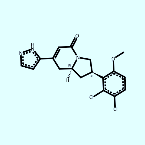 COc1ccc(Cl)c(Cl)c1[C@H]1C[C@H]2CC(c3ccn[nH]3)=CC(=O)N2C1